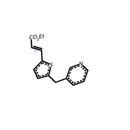 CCOC(=O)/C=C/c1ccc(Cc2cccnc2)s1